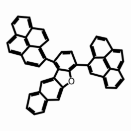 c1ccc2cc3c(cc2c1)oc1c(-c2cc4cccc5ccc6cccc2c6c54)ccc(-c2ccc4ccc5cccc6ccc2c4c56)c13